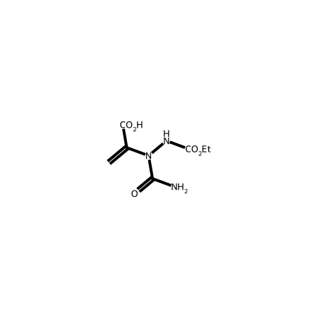 C=C(C(=O)O)N(NC(=O)OCC)C(N)=O